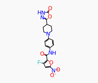 O=C(Nc1ccc(N2CCC(c3n[nH]c(=O)o3)CC2)cc1)c1oc([N+](=O)[O-])cc1F